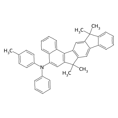 Cc1ccc(N(c2ccccc2)c2cc3c(c4ccccc24)-c2cc4c(cc2C3(C)C)-c2ccccc2C4(C)C)cc1